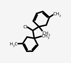 CC1=CC=CC(C)(C(Cl)C2(C)C=CC=C(C)C2)C1